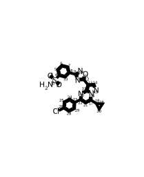 NS(=O)(=O)c1cccc(-c2noc(-c3cnn4c(C5CC5)cc(-c5ccc(Cl)cc5)nc34)n2)c1